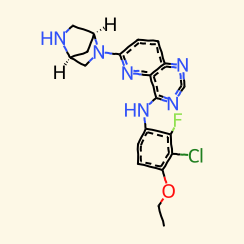 CCOc1ccc(Nc2ncnc3ccc(N4C[C@@H]5C[C@H]4CN5)nc23)c(F)c1Cl